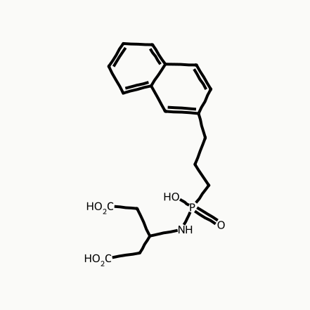 O=C(O)CC(CC(=O)O)NP(=O)(O)CCCc1ccc2ccccc2c1